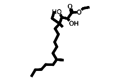 CCCCCC(C)CCCCCC(C)(CC)C(O)C(O)C(=O)OCC